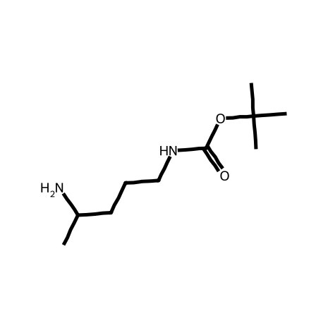 CC(N)CCCNC(=O)OC(C)(C)C